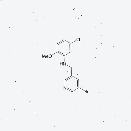 COc1ccc(Cl)cc1NCc1cncc(Br)c1